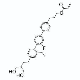 C=CC(=O)OCCCc1ccc(-c2ccc(-c3ccc(CCC(CO)CO)cc3CC)c(F)c2)cc1